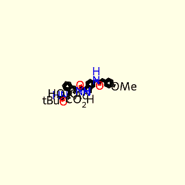 COc1ccc(CC(=O)Nc2ccc3c(c2)CN(C(C)=O)C3C(=O)NC(Cc2ccccc2CC(NC(=O)CC(C)(C)C)C(=O)O)C(=O)O)cc1